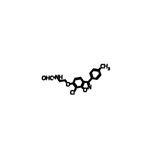 Cc1ccc(-c2noc3c(Cl)c(OCCNC=O)ccc23)cc1